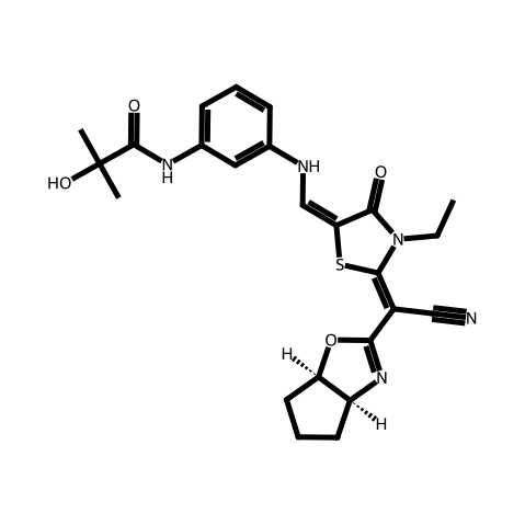 CCn1c(=O)/c(=C\Nc2cccc(NC(=O)C(C)(C)O)c2)s/c1=C(/C#N)C1=N[C@H]2CCC[C@H]2O1